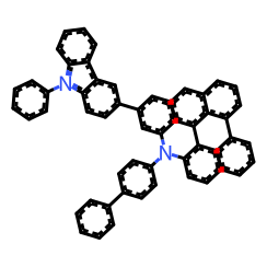 c1ccc(-c2ccc(N(c3cccc(-c4ccc5c(c4)c4ccccc4n5-c4ccccc4)c3)c3ccccc3-c3cccc4cccc(-c5ccccc5)c34)cc2)cc1